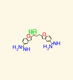 Cl.Cl.N=C(N)c1ccc2oc(CCCc3cc4cc(C(=N)N)ccc4o3)cc2c1